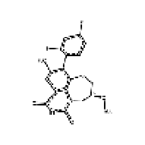 CCCCO[C@@H]1CSc2c(-c3ccc(F)cc3F)c(C(F)(F)F)cc3c(=O)[nH]c(=O)n(c23)C1